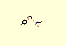 COc1nc(NC[C@H]2CCC[C@@H](c3ccc(C(F)(F)F)cc3)O2)cc(C(=O)O)n1